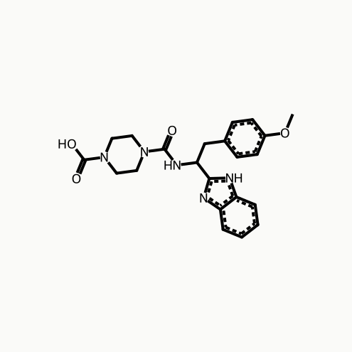 COc1ccc(CC(NC(=O)N2CCN(C(=O)O)CC2)c2nc3ccccc3[nH]2)cc1